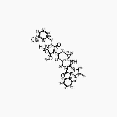 COC(=O)N(C(=O)[C@@H](N)Cc1cccc(Cl)c1)C(CCCN1C(=N)N[C@](CC(C)C)(c2ccccc2)C1=O)CC1CC1